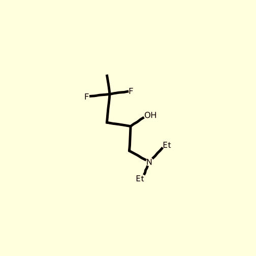 CCN(CC)CC(O)CC(C)(F)F